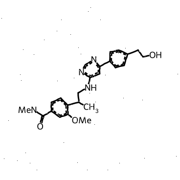 CNC(=O)c1ccc(C(C)CNc2cc(-c3ccc(CCO)cc3)ncn2)c(OC)c1